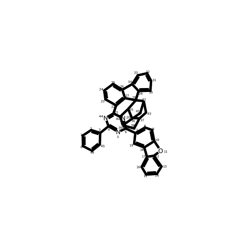 c1ccc(-c2nc(-c3ccc4oc5ccccc5c4c3)nc(-c3cccc4c3C3(c5ccccc5-4)C4CC5CC(C4)CC3C5)n2)cc1